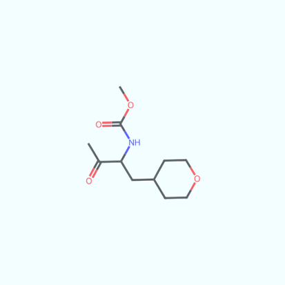 COC(=O)NC(CC1CCOCC1)C(C)=O